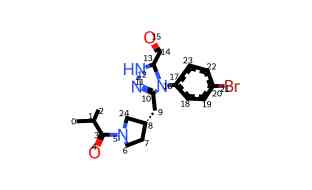 CC(C)C(=O)N1CC[C@@H](CC2=NNC(C=O)N2c2ccc(Br)cc2)C1